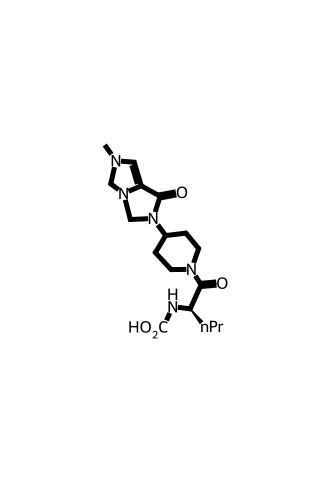 CCC[C@@H](NC(=O)O)C(=O)N1CCC(N2CN3CN(C)C=C3C2=O)CC1